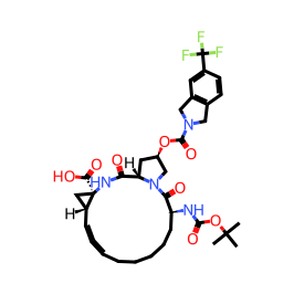 CC(C)(C)OC(=O)N[C@H]1CCCCCC=C=C[C@@H]2C[C@@]2(C(=O)O)NC(=O)[C@@H]2C[C@@H](OC(=O)N3Cc4ccc(C(F)(F)F)cc4C3)CN2C1=O